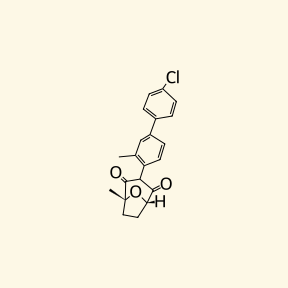 Cc1cc(-c2ccc(Cl)cc2)ccc1C1C(=O)[C@@H]2CC[C@@](C)(O2)C1=O